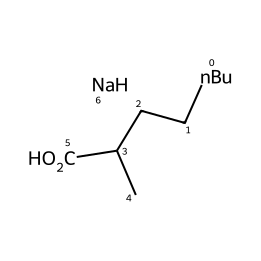 CCCCCCC(C)C(=O)O.[NaH]